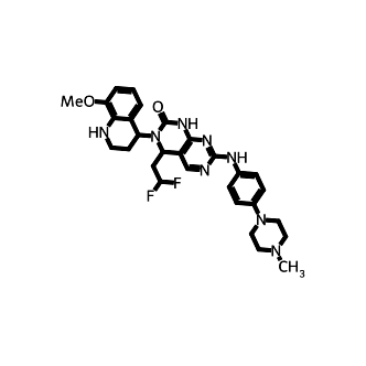 COc1cccc2c1NCCC2N1C(=O)Nc2nc(Nc3ccc(N4CCN(C)CC4)cc3)ncc2C1CC(F)F